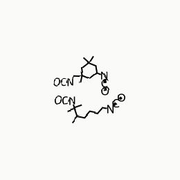 CC(CCCCN=C=O)C(C)(C)N=C=O.CC1(C)CC(N=C=O)CC(C)(CN=C=O)C1